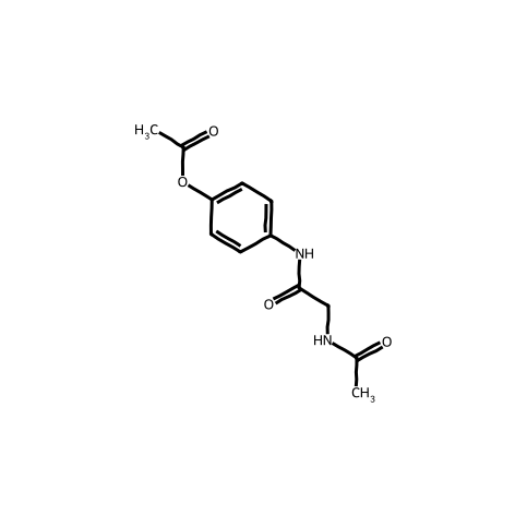 CC(=O)NCC(=O)Nc1ccc(OC(C)=O)cc1